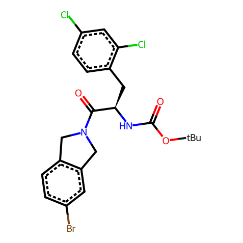 CC(C)(C)OC(=O)N[C@H](Cc1ccc(Cl)cc1Cl)C(=O)N1Cc2ccc(Br)cc2C1